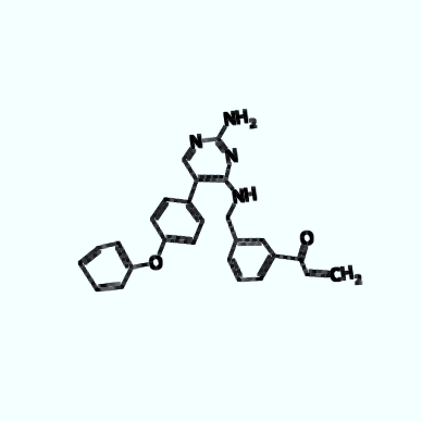 C=CC(=O)c1cccc(CNc2nc(N)ncc2-c2ccc(Oc3ccccc3)cc2)c1